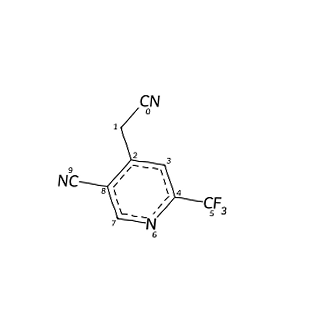 N#CCc1cc(C(F)(F)F)ncc1C#N